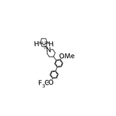 COc1ccc(-c2ccc(OC(F)(F)F)cc2)cc1C1CCN([C@H]2C[C@H]3CC[C@H]2C3)CC1